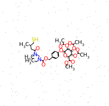 CCN(CN(C)C(=O)CC(C)CS)C(=O)OCc1ccc(O[C@@H]2O[C@H](C(=O)OC)[C@@H](OC(C)=O)[C@H](OC(C)=O)[C@H]2OC(C)=O)cc1